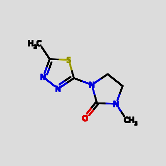 Cc1nnc(N2CCN(C)C2=O)s1